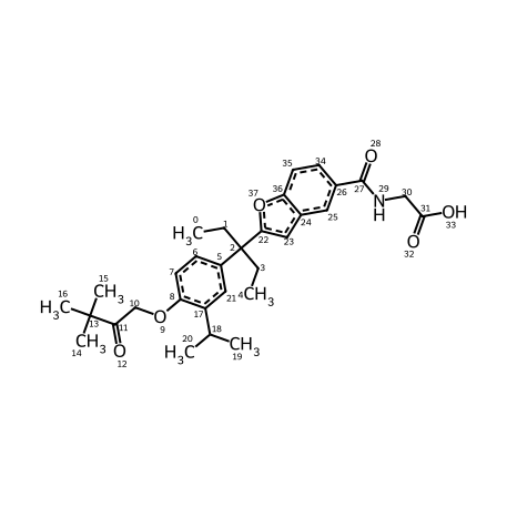 CCC(CC)(c1ccc(OCC(=O)C(C)(C)C)c(C(C)C)c1)c1cc2cc(C(=O)NCC(=O)O)ccc2o1